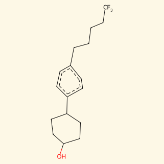 OC1CCC(c2ccc(CCCCC(F)(F)F)cc2)CC1